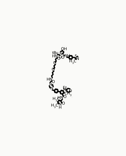 CCN(c1cc(-c2ccc(CN3CCN(CC(=O)NCCCCCOCCCOCCC(=O)NC(C(=O)N4C[C@H](O)C[C@H]4C(=O)NCc4ccc(-c5scnc5C)cc4)C(C)(C)C)CC3)cc2)cc(C(=O)NCc2c(C)cc(C)[nH]c2=O)c1C)C1CCOCC1